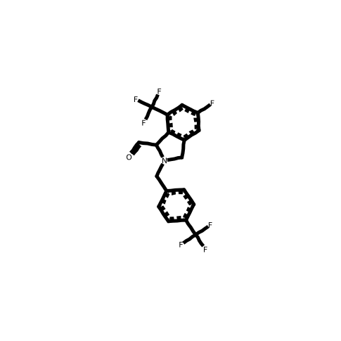 O=CC1c2c(cc(F)cc2C(F)(F)F)CN1Cc1ccc(C(F)(F)F)cc1